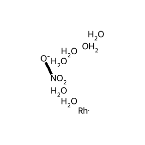 O.O.O.O.O.O.O=[N+]([O-])[O-].[Rh]